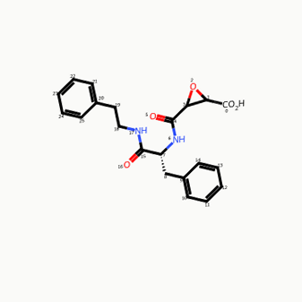 O=C(O)C1OC1C(=O)N[C@H](Cc1ccccc1)C(=O)NCCc1ccccc1